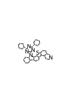 c1ccc(-c2nc(-c3ccccc3)nc(-n3c4ccccc4c4ccc5c(sc6ccc7cnccc7c65)c43)n2)cc1